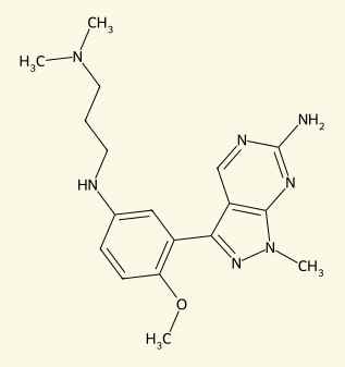 COc1ccc(NCCCN(C)C)cc1-c1nn(C)c2nc(N)ncc12